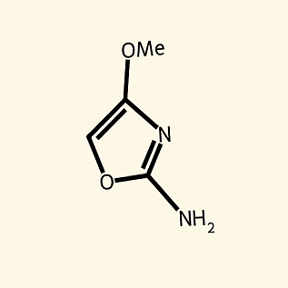 COc1coc(N)n1